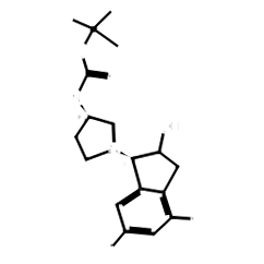 CC(C)(C)OC(=O)N[C@@H]1CCN([C@@H]2c3cc(Cl)cc(Cl)c3CC2O)C1